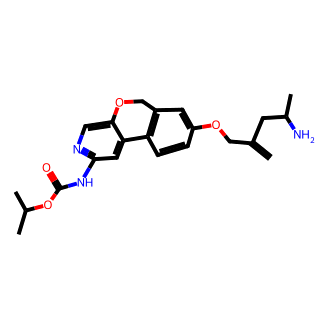 C=C(COc1ccc2c(c1)COc1cnc(NC(=O)OC(C)C)cc1-2)CC(C)N